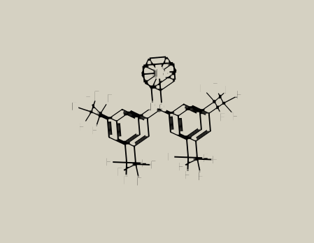 FC(F)(F)c1cc(P(c2cc(C(F)(F)F)cc(C(F)(F)F)c2)[C]23[CH]4[CH]5[CH]6[CH]2[Fe]56432789[CH]3[CH]2[CH]7[C]8(P(c2cc(C(F)(F)F)cc(C(F)(F)F)c2)c2cc(C(F)(F)F)cc(C(F)(F)F)c2)[CH]39)cc(C(F)(F)F)c1